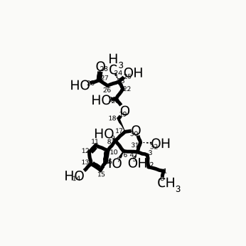 CCCC[C@@]1(O)[C@@H](O)[C@@](O)(c2ccc(O)cc2)[C@@H](COC(O)C[C@](C)(O)CC(=O)O)O[C@@H]1O